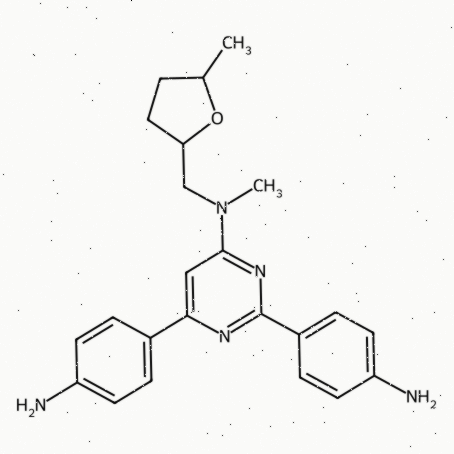 CC1CCC(CN(C)c2cc(-c3ccc(N)cc3)nc(-c3ccc(N)cc3)n2)O1